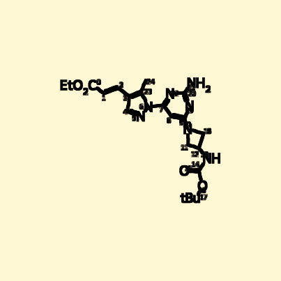 CCOC(=O)/C=C/c1cnn(-c2cc(N3CC(NC(=O)OC(C)(C)C)C3)nc(N)n2)c1C